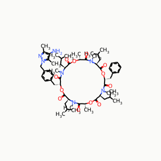 Cc1nn(Cc2ccc(C[C@H]3OC(=O)[C@H](CC(C)C)N(C)C(=O)[C@@H](C)OC(=O)[C@H](CC(C)C)N(C)C(=O)[C@@H](Cc4ccccc4)OC(=O)[C@H](CC(C)C)N(C)C(=O)[C@@H](C)OC(=O)[C@H](CC(C)C)N(C)C3=O)cc2)c(C)c1N